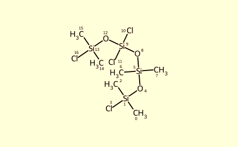 C[Si](C)(Cl)O[Si](C)(C)O[Si](Cl)(Cl)O[Si](C)(C)Cl